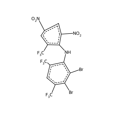 O=[N+]([O-])c1cc([N+](=O)[O-])c(Nc2c(C(F)(F)F)cc(C(F)(F)F)c(Br)c2Br)c(C(F)(F)F)c1